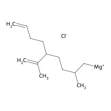 C=CCCC(CCC(C)[CH2][Mg+])C(=C)C.[Cl-]